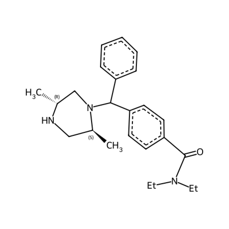 CCN(CC)C(=O)c1ccc(C(c2ccccc2)N2C[C@@H](C)NC[C@@H]2C)cc1